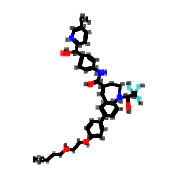 CCCCOCCOc1ccc(-c2ccc3c(c2)C=C(C(=O)Nc2ccc(C(O)c4ccc(C)cn4)cc2)CCN3C(=O)C(F)(F)F)cc1